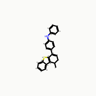 CC1CC=C(c2ccc(Nc3ccccc3)cc2)c2sc3ccccc3c21